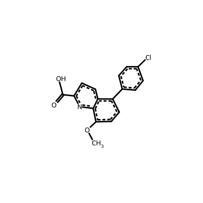 COc1ccc(-c2ccc(Cl)cc2)c2ccc(C(=O)O)nc12